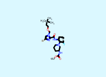 CC(C)(C)OC(=O)NC1CCCN(c2c(F)cccc2NC(=O)c2nc(Br)cn2COCC[Si](C)(C)C)C1